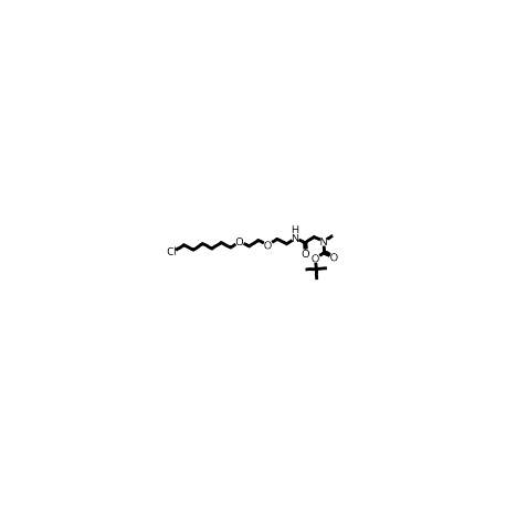 CN(CC(=O)NCCOCCOCCCCCCCl)C(=O)OC(C)(C)C